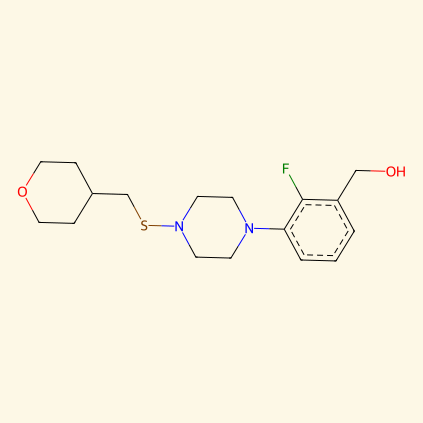 OCc1cccc(N2CCN(SCC3CCOCC3)CC2)c1F